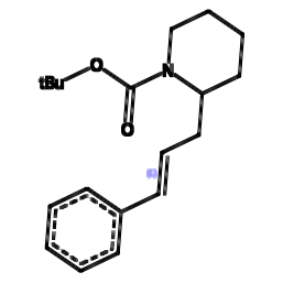 CC(C)(C)OC(=O)N1CCCCC1C/C=C/c1ccccc1